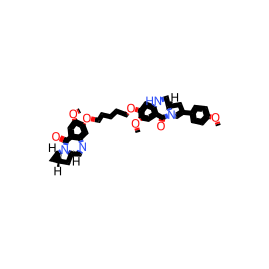 COc1ccc(C2=CN3C(=O)c4cc(OC)c(OCCCCCOc5cc6c(cc5OC)C(=O)N5[C@@H](C=N6)C[C@@H]6C[C@@H]65)cc4NC[C@@H]3C2)cc1